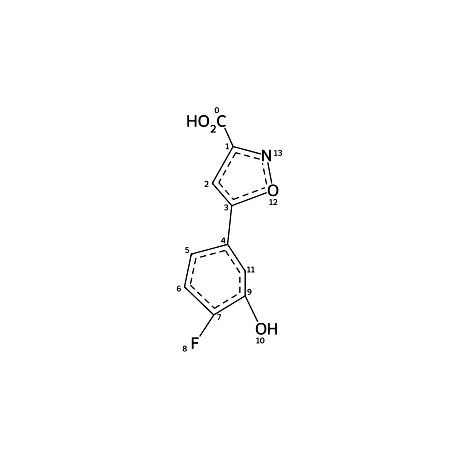 O=C(O)c1cc(-c2ccc(F)c(O)c2)on1